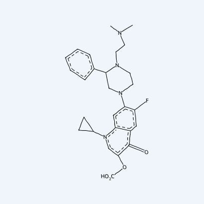 CN(C)CCN1CCN(c2cc3c(cc2F)c(=O)c(OC(=O)O)cn3C2CC2)CC1c1ccccc1